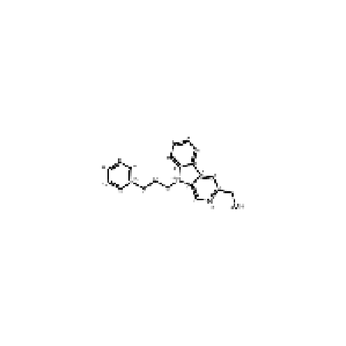 OCc1cc2c3ccccc3n(CCCc3ccccc3)c2cn1